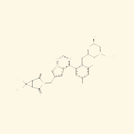 Cc1cc(Cl)cc(-c2ncnn3cc(CN4C(=O)C5C(C4=O)C5(C)C)cc23)c1CC1CN(C(=O)O)C[C@H](C)O1